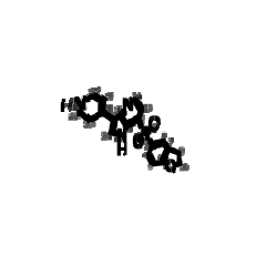 O=S(=O)(c1ccc2c(c1)CCO2)c1ccnc2c(C3=CCNCC3)c[nH]c12